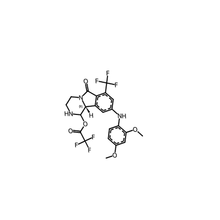 COc1ccc(Nc2cc3c(c(C(F)(F)F)c2)C(=O)N2CCNC(OC(=O)C(F)(F)F)[C@@H]32)c(OC)c1